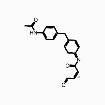 CC(=O)Nc1ccc(CC2=CCC(=NC(=O)/C=C\C=O)C=C2)cc1